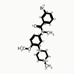 COc1ccc(N(C)C(=O)c2cccc(Br)c2)cc1N1CCN(C)CC1